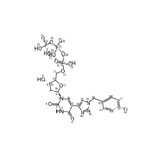 O=c1[nH]c(=O)n([C@H]2C[C@H](O)C(COP(=O)(O)OP(=O)(O)OP(=O)(O)O)O2)cc1-c1cn(Cc2ccc(Cl)cc2)nn1